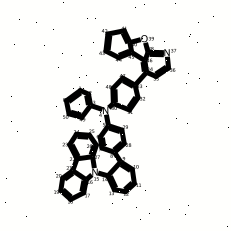 c1ccc(N(c2ccc(-c3ccccc3-n3c4ccccc4c4ccccc43)cc2)c2ccc(-c3ccnc4oc5ccccc5c34)cc2)cc1